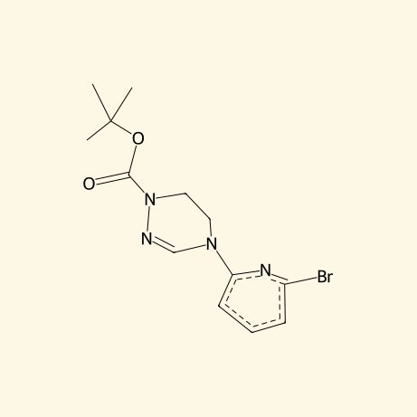 CC(C)(C)OC(=O)N1CCN(c2cccc(Br)n2)C=N1